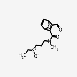 CC[S+]([O-])CCCN(C)C(=O)C1C2C=CC(O2)C1C=O